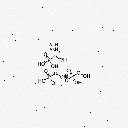 O=P(O)(O)OO.O=P(O)(O)OO.O=P(O)(O)OO.[AsH3].[AsH3]